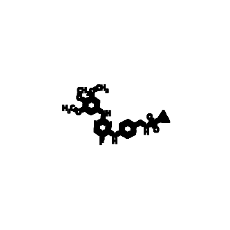 COc1cc(Nc2ncc(F)c(Nc3ccc(CNS(=O)(=O)C4CC4)cc3)n2)cc(OC)c1OC